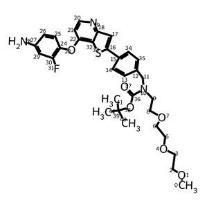 COCCOCCOCCN(Cc1ccc(-c2cc3nccc(Oc4ccc(N)cc4F)c3s2)cc1)C(=O)OC(C)(C)C